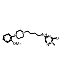 COc1ccccc1N1CCN(CCCCNc2cnn(C)c(=O)n2)CC1